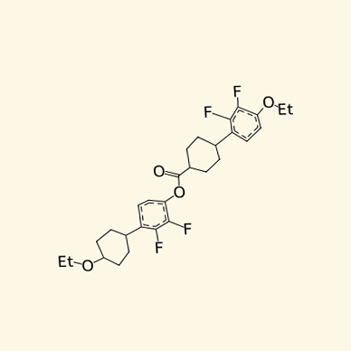 CCOc1ccc(C2CCC(C(=O)Oc3ccc(C4CCC(OCC)CC4)c(F)c3F)CC2)c(F)c1F